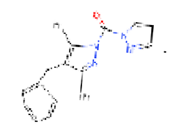 CC(C)c1nn(C(=O)n2cccn2)c(C(C)C)c1Cc1ccccc1